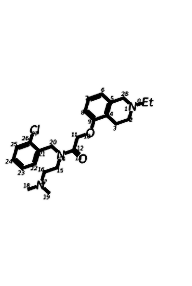 CCN1CCc2c(cccc2OCC(=O)N(CCN(C)C)Cc2ccccc2Cl)C1